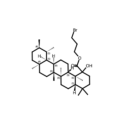 C[C@@H]1[C@H]2[C@H]3CC[C@@H]4[C@]5(C)[C@@H](CC[C@@]4(C)[C@]3(C)CC[C@@]2(C)CC[C@H]1C)C(C)(C)CCC5(O)C(=O)OCCCBr